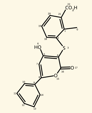 Cc1c(Sc2c(O)cc(-c3ccccc3)oc2=O)cccc1C(=O)O